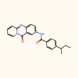 CCC(C)c1ccc(C(=O)Nc2ccc3nc4ccccn4c(=O)c3c2)cc1